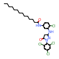 CCCCCCCCCCCCCC(=O)Nc1ccc(Cl)c(NC2=NN(c3c(Cl)cc(Cl)cc3Cl)C(=O)C2)c1